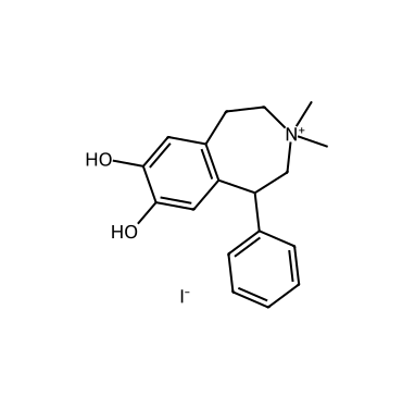 C[N+]1(C)CCc2cc(O)c(O)cc2C(c2ccccc2)C1.[I-]